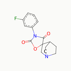 O=C1OC2(CN3CCC2CC3)C(=O)N1c1cccc(F)c1